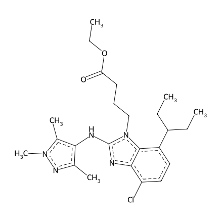 CCOC(=O)CCCn1c(Nc2c(C)nn(C)c2C)nc2c(Cl)ccc(C(CC)CC)c21